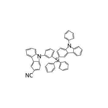 N#Cc1ccc2c(c1)c1ccccc1n2-c1cccc([Si](c2ccccc2)(c2ccccc2)c2ccc3c(c2)c2ccccc2n3-c2ccccc2)c1